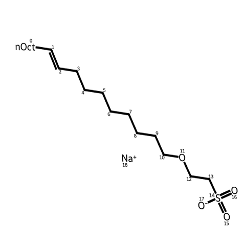 CCCCCCCCC=CCCCCCCCCOCCS(=O)(=O)[O-].[Na+]